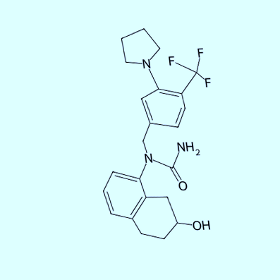 NC(=O)N(Cc1ccc(C(F)(F)F)c(N2CCCC2)c1)c1cccc2c1CC(O)CC2